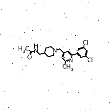 CC(=O)NCC1CCN(Cc2cc(C)nc(-c3cc(Cl)cc(Cl)c3)c2)CC1